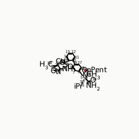 CCCCCC(=O)[N+](C)(Cc1ccc(-c2ccccc2S(=O)(=O)Nc2noc(C)c2C)cc1)[C@@H](CC(C)C)C(N)=O